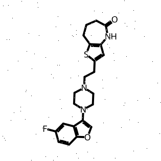 O=C1CCCc2sc(CCN3CCN(c4coc5ccc(F)cc45)CC3)cc2N1